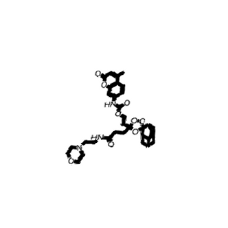 Cc1cc(=O)oc2cc(NC(=O)OCCC3(CCC(=O)NCCN4CCOCC4)OOC4(O3)C3CC5CC(C3)CC4C5)ccc12